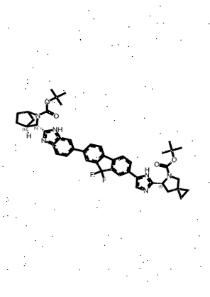 CC(C)(C)OC(=O)N1CC2(CC2)C[C@H]1c1ncc(-c2ccc3c(c2)C(F)(F)c2cc(-c4ccc5nc([C@@H]6[C@H]7CCC(C7)N6C(=O)OC(C)(C)C)[nH]c5c4)ccc2-3)[nH]1